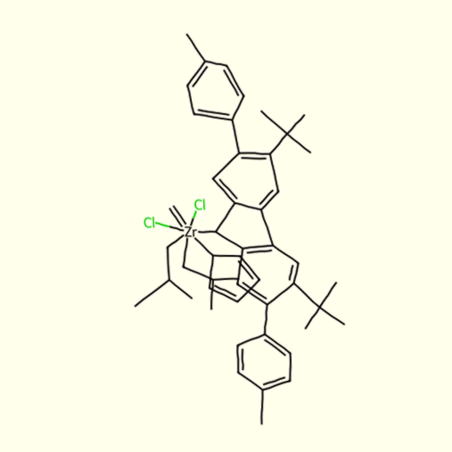 [CH2]=[Zr]([Cl])([Cl])([CH2]C(C)C)([CH2]C(C)C)([CH]1C=CC=C1)[CH]1c2cc(-c3ccc(C)cc3)c(C(C)(C)C)cc2-c2cc(C(C)(C)C)c(-c3ccc(C)cc3)cc21